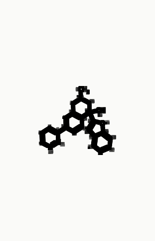 CN1Cc2cc(-c3cccnn3)ccc2C(O)(c2cc3ccccc3o2)C1